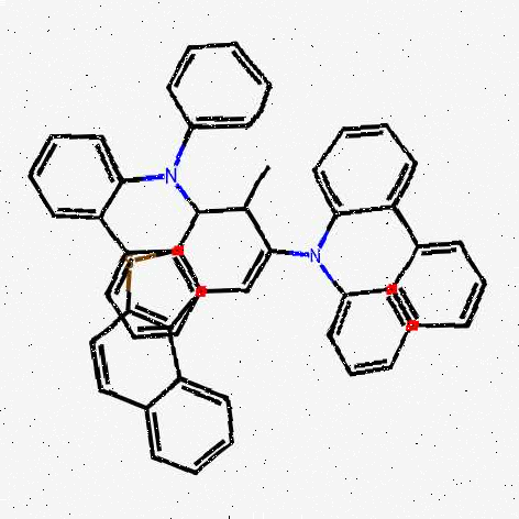 CC1C(N(c2ccccc2)c2ccccc2-c2ccccc2)=Cc2c(sc3ccc4ccccc4c23)C1N(c1ccccc1)c1ccccc1-c1ccccc1